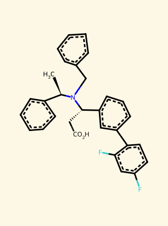 C[C@H](c1ccccc1)N(Cc1ccccc1)[C@@H](CC(=O)O)c1cccc(-c2ccc(F)cc2F)c1